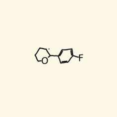 Fc1ccc(C2[CH]CCCO2)cc1